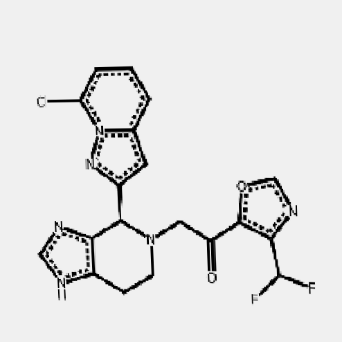 O=C(CN1CCc2[nH]cnc2[C@H]1c1cc2cccc(Cl)n2n1)c1ocnc1C(F)F